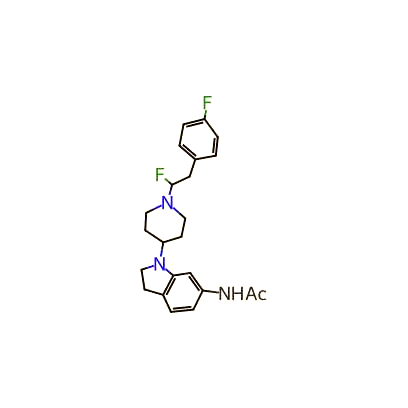 CC(=O)Nc1ccc2c(c1)N(C1CCN(C(F)Cc3ccc(F)cc3)CC1)CC2